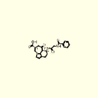 O=C(CNC(=O)c1ccccc1)N[C@H]1CCc2ccn3c2C1C(=O)C[C@H](C(=O)O)C3